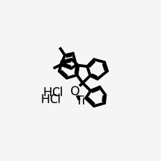 CC1=CC(c2ccccc2C([O][Ti])(c2ccccc2)c2ccccc2)C=C1C.Cl.Cl